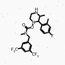 Cc1cc(F)ccc1C1C(C)NCCN1OC(=O)N(C)Cc1cc(C(F)(F)F)cc(C(F)(F)F)c1